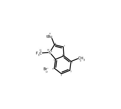 Cc1cccc2c1cc(C(C)(C)C)[s+]2C(F)(F)F.[Br-]